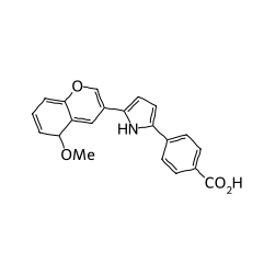 COC1C=CC=C2OC=C(c3ccc(-c4ccc(C(=O)O)cc4)[nH]3)C=C21